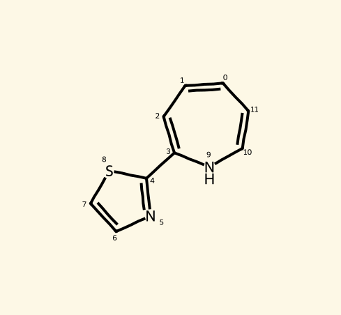 C1=CC=C(c2nccs2)NC=C1